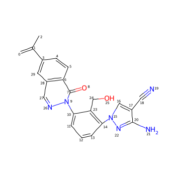 C=C(C)c1ccc2c(=O)n(-c3cccc(-n4cc(C#N)c(N)n4)c3CO)ncc2c1